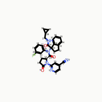 N#Cc1ccnc(N2C(=O)CC[C@H]2C(=O)N(c2cccc(F)c2)[C@]2(C(=O)NCC3CC3)CCc3ccccc32)c1